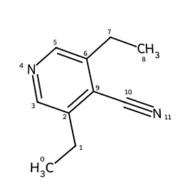 CCc1cncc(CC)c1C#N